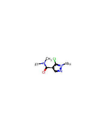 CCN(C)C(=O)c1cnn(C(C)(C)C)c1Cl